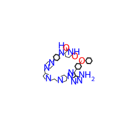 Nc1ncnc2c1c(-c1ccc(Oc3ccccc3)cc1)nn2C1CCN(CCCN2CCC(CN3CCN(c4ccc(NC5CCC(=O)NC5=O)cc4)CC3)C2)CC1